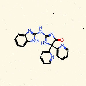 O=C1N=C(Nc2nc3ccccc3[nH]2)NC1(c1ccccn1)c1ccccn1